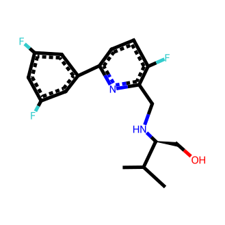 CC(C)[C@H](CO)NCc1nc(-c2cc(F)cc(F)c2)ccc1F